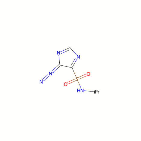 CC(C)NS(=O)(=O)C1=NC=NC1=[N+]=[N-]